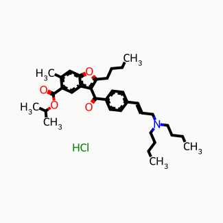 CCCCc1oc2cc(C)c(C(=O)OC(C)C)cc2c1C(=O)c1ccc(C=CCN(CCCC)CCCC)cc1.Cl